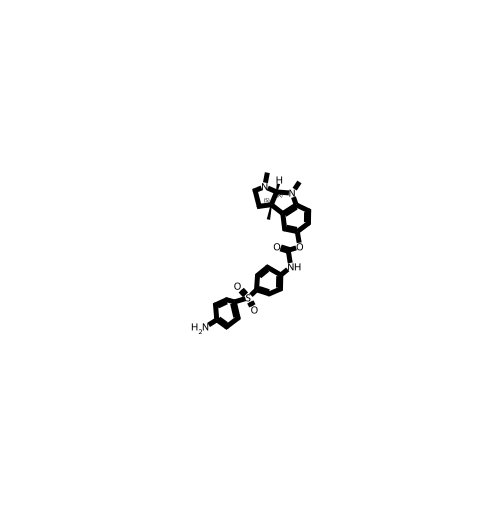 CN1CC[C@@]2(C)c3cc(OC(=O)Nc4ccc(S(=O)(=O)c5ccc(N)cc5)cc4)ccc3N(C)[C@@H]12